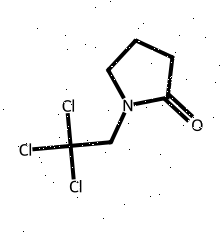 O=C1CCCN1CC(Cl)(Cl)Cl